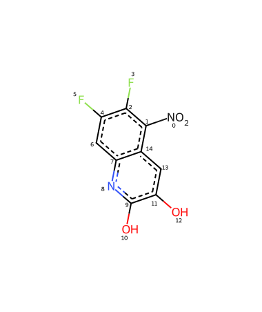 O=[N+]([O-])c1c(F)c(F)cc2nc(O)c(O)cc12